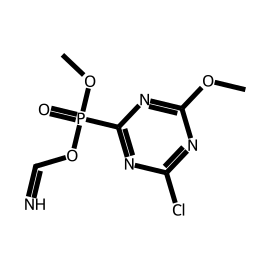 COc1nc(Cl)nc(P(=O)(OC)OC=N)n1